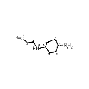 COCCN[C@H]1CC[C@H](N)CC1